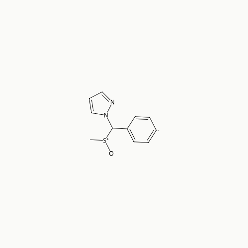 C[S+]([O-])C(c1cc[c]cc1)n1cccn1